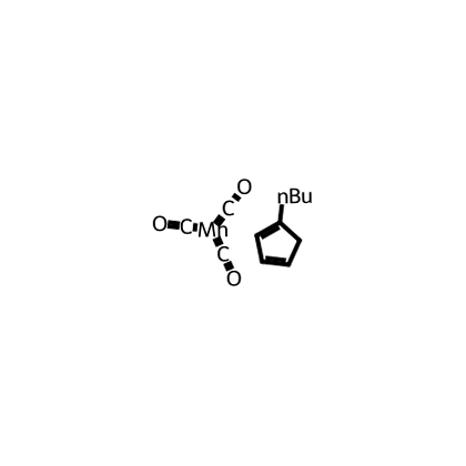 CCCCC1=CC=CC1.O=[C]=[Mn](=[C]=O)=[C]=O